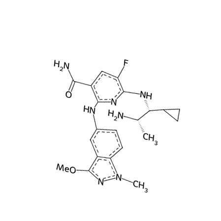 COc1nn(C)c2ccc(Nc3nc(N[C@H](C4CC4)[C@H](C)N)c(F)cc3C(N)=O)cc12